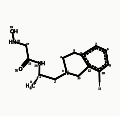 C[C@@H](CN1CCc2cccc(I)c2C1)NC(=O)CNO